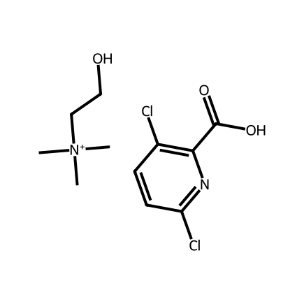 C[N+](C)(C)CCO.O=C(O)c1nc(Cl)ccc1Cl